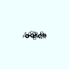 CC1(C(F)(F)F)CC(C(=O)Nc2cnc(-n3nccn3)c(Cl)c2)=C(Cl)C=C1c1ccc(F)cc1